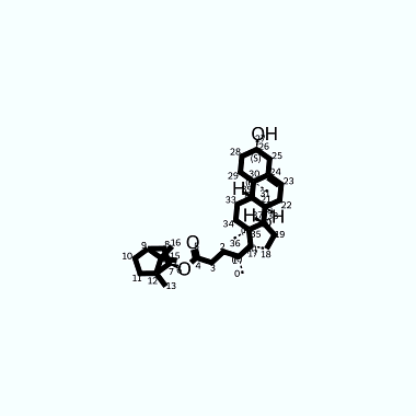 C[C@H](CCC(=O)O[C@@H]1CC2CCC1(C)C2(C)C)[C@H]1CC[C@H]2[C@@H]3CC=C4C[C@@H](O)CC[C@]4(C)[C@H]3CC[C@]12C